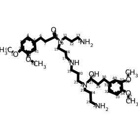 COc1ccc(CCC(=O)N(CCCN)CCCNCCCN(CCCN)C(O)CCc2ccc(OC)c(OC)c2)cc1OC